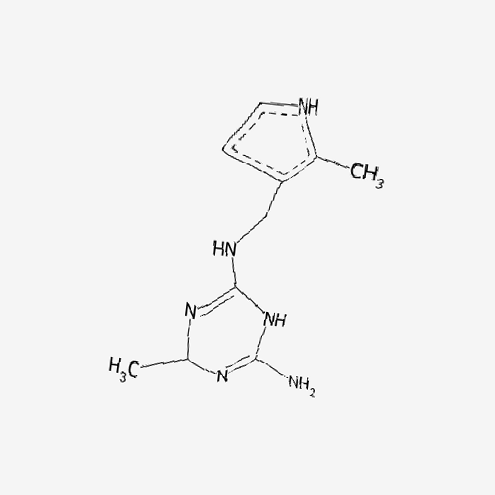 Cc1[nH]ccc1CNC1=NC(C)N=C(N)N1